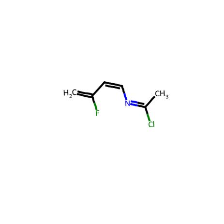 C=C(F)/C=C\N=C(/C)Cl